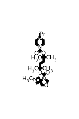 CC(C)N1CCN(C(=O)OC(C)(C)CCC(C)(C)OC(=O)N2COCC23CN(C)C3)CC1